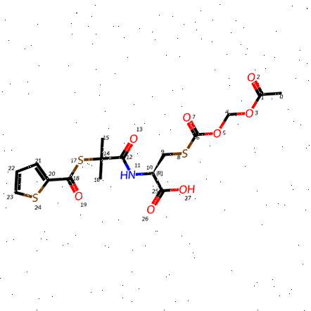 CC(=O)OCOC(=O)SC[C@H](NC(=O)C(C)(C)SC(=O)c1cccs1)C(=O)O